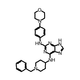 c1ccc(CN2CCC(Nc3nc(Nc4ccc(N5CCOCC5)cc4)nc4[nH]cnc34)CC2)cc1